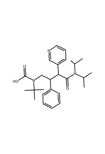 CC(C)N(C(=O)C(c1cccnc1)C(CN(C(=O)O)C(C)(C)C)c1ccccc1)C(C)C